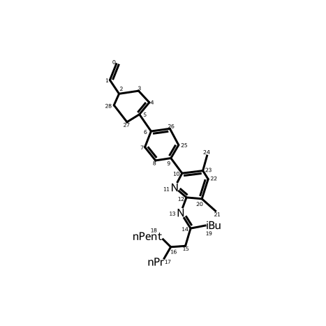 C=CC1CC=C(c2ccc(-c3nc(/N=C(/CC(CCC)CCCCC)C(C)CC)c(C)cc3C)cc2)CC1